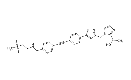 CC(O)c1nccn1Cc1cc(-c2ccc(C#Cc3ccc(CNCCS(C)(=O)=O)nc3)cc2)on1